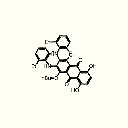 CCCCOc1c(Nc2c(CC)cccc2CC)c(Nc2c(CC)cccc2CC)c(Cl)c2c1C(=O)c1c(O)ccc(O)c1C2=O